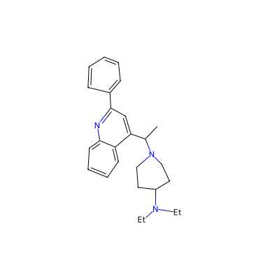 CCN(CC)C1CCN(C(C)c2cc(-c3ccccc3)nc3ccccc23)CC1